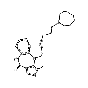 Cc1scc2c1N(CC#CCCCN1CCCCCC1)c1ccccc1NC2=O